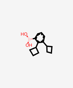 OB(O)c1cccc(C2CCC2)c1C1CCC1